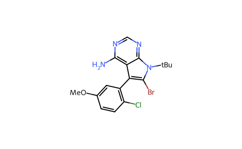 COc1ccc(Cl)c(-c2c(Br)n(C(C)(C)C)c3ncnc(N)c23)c1